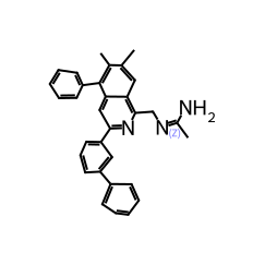 C/C(N)=N/Cc1nc(-c2cccc(-c3ccccc3)c2)cc2c(-c3ccccc3)c(C)c(C)cc12